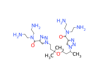 CC(CCOC(C)(C)CCn1cc(C(=O)N(CCN)CCN)nn1)n1cc(C(=O)N(CCN)CCN)nn1